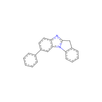 c1ccc(-c2ccc3nc4n(c3c2)-c2ccccc2C4)cc1